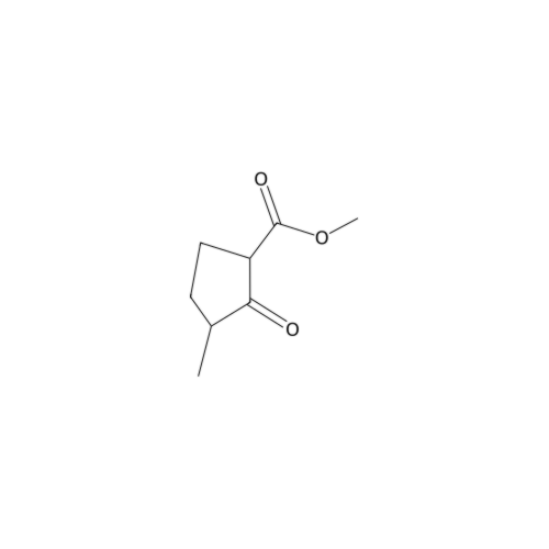 COC(=O)C1CCC(C)C1=O